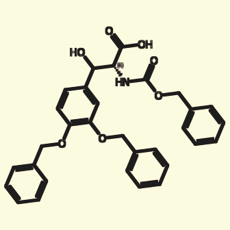 O=C(N[C@@H](C(=O)O)C(O)c1ccc(OCc2ccccc2)c(OCc2ccccc2)c1)OCc1ccccc1